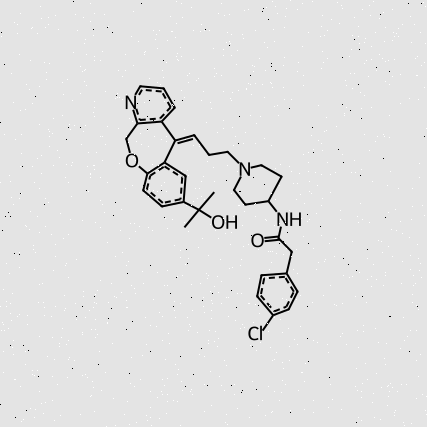 CC(C)(O)c1ccc2c(c1)/C(=C\CCN1CCC(NC(=O)Cc3ccc(Cl)cc3)CC1)c1cccnc1CO2